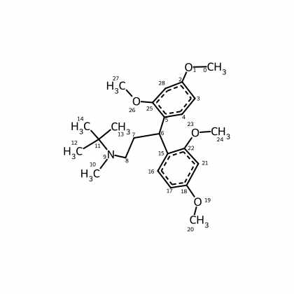 COc1ccc(C(CCN(C)C(C)(C)C)c2ccc(OC)cc2OC)c(OC)c1